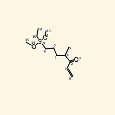 C=CC(=O)C(C)CCC[Si](CC)(OC)OC